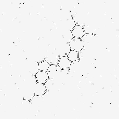 COC/C=C\c1cnc2ccn(-c3cnc4nc(C)n(Cc5cc(F)cc(F)c5)c4c3)c2n1